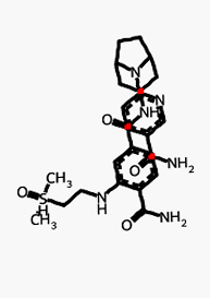 C[SH](C)(=O)CCNc1cc(C(=O)NC2CC3CCC(C2)N3c2ccc(C(N)=O)cn2)ccc1C(N)=O